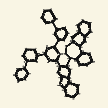 c1ccc(-c2cccc(-c3nc(-c4cccc(-c5ccccc5)c4)nc(-c4cc5oc6ccccc6c5cc4C4CCc5cc6ccccc6cc5-c5ccccc54)n3)c2)cc1